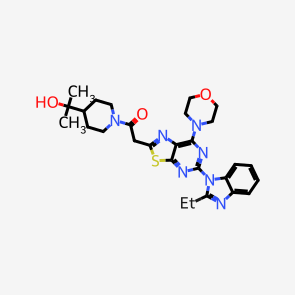 CCc1nc2ccccc2n1-c1nc(N2CCOCC2)c2nc(CC(=O)N3CCC(C(C)(C)O)CC3)sc2n1